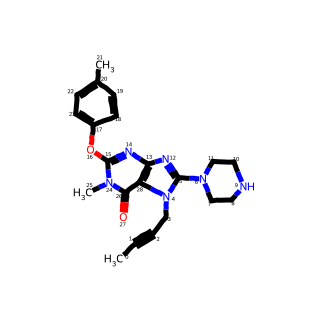 CC#CCn1c(N2CCNCC2)nc2nc(Oc3ccc(C)cc3)n(C)c(=O)c21